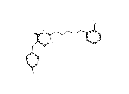 Cc1ccc(Cc2cnc(NCCSCc3ccccc3N)[nH]c2=O)cn1